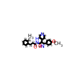 COc1ccc(-c2noc(NC(=O)CCc3ccccc3C)c2-c2ccncc2)cc1